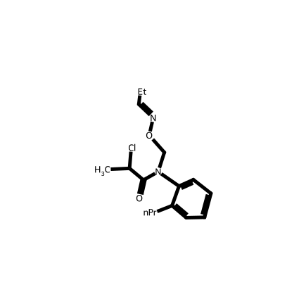 CCC=NOCN(C(=O)C(C)Cl)c1ccccc1CCC